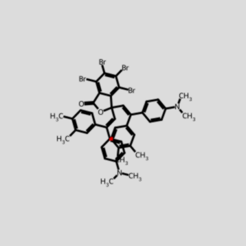 Cc1ccc(/C(=C\C2(/C=C(/c3ccc(N(C)C)cc3)c3ccc(C)c(C)c3)OC(=O)c3c(Br)c(Br)c(Br)c(Br)c32)c2ccc(N(C)C)cc2)cc1C